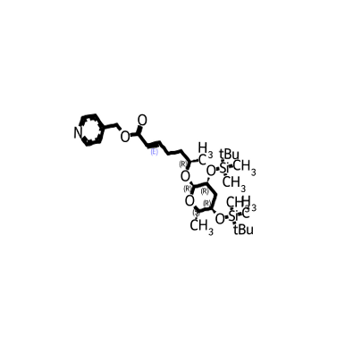 C[C@H](CC/C=C/C(=O)OCc1ccncc1)O[C@@H]1O[C@@H](C)[C@H](O[Si](C)(C)C(C)(C)C)C[C@H]1O[Si](C)(C)C(C)(C)C